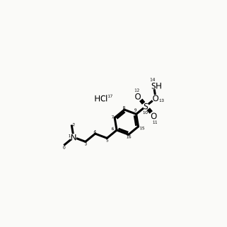 CN(C)CCCc1ccc(S(=O)(=O)OS)cc1.Cl